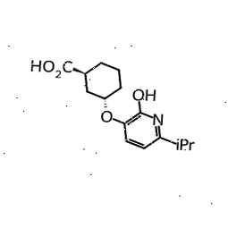 CC(C)c1ccc(O[C@H]2CCC[C@H](C(=O)O)C2)c(O)n1